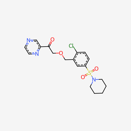 O=C(COCc1cc(S(=O)(=O)N2CCCCC2)ccc1Cl)c1cnccn1